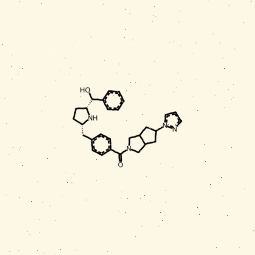 O=C(c1ccc(C[C@@H]2CC[C@H](C(O)c3ccccc3)N2)cc1)N1CC2CC(n3cccn3)CC2C1